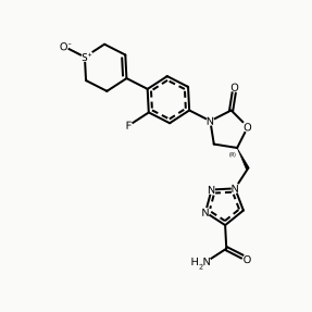 NC(=O)c1cn(C[C@H]2CN(c3ccc(C4=CC[S+]([O-])CC4)c(F)c3)C(=O)O2)nn1